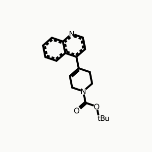 CC(C)(C)OC(=O)N1CC=C(c2ccnc3ccccc23)CC1